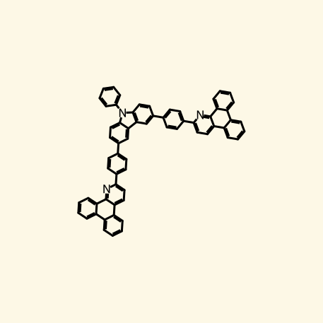 c1ccc(-n2c3ccc(-c4ccc(-c5ccc6c7ccccc7c7ccccc7c6n5)cc4)cc3c3cc(-c4ccc(-c5ccc6c7ccccc7c7ccccc7c6n5)cc4)ccc32)cc1